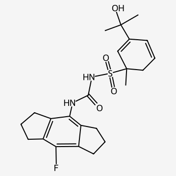 CC(C)(O)C1=CC(C)(S(=O)(=O)NC(=O)Nc2c3c(c(F)c4c2CCC4)CCC3)CC=C1